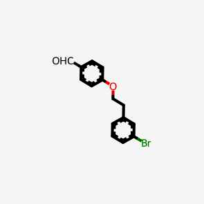 O=Cc1ccc(OCCc2cccc(Br)c2)cc1